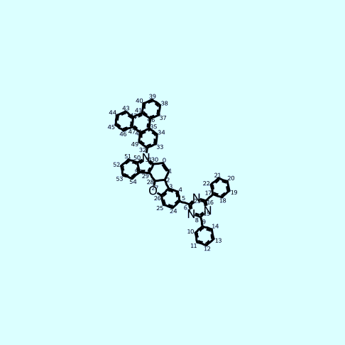 C1=CC2c3cc(-c4nc(-c5ccccc5)nc(-c5ccccc5)n4)ccc3OC2c2c1n(-c1ccc3c4ccccc4c4ccccc4c3c1)c1ccccc21